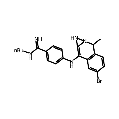 CCCCNC(=N)c1ccc(NC2=C3NN3C(C)c3ccc(Br)cc32)cc1